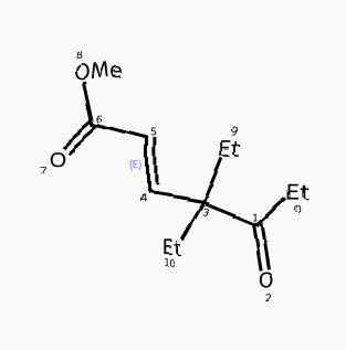 CCC(=O)C(/C=C/C(=O)OC)(CC)CC